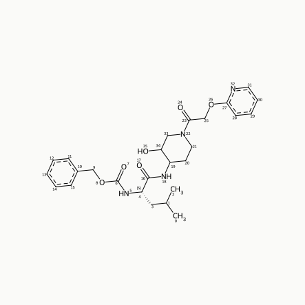 CC(C)C[C@H](NC(=O)OCc1ccccc1)C(=O)NC1CCN(C(=O)COc2ccccn2)CC1O